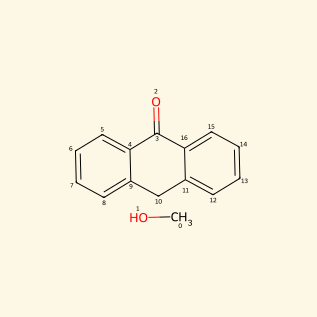 CO.O=C1c2ccccc2Cc2ccccc21